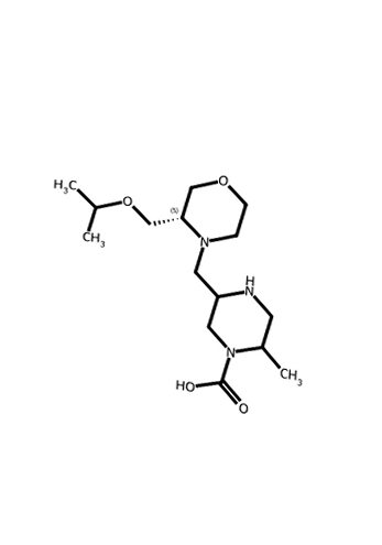 CC(C)OC[C@@H]1COCCN1CC1CN(C(=O)O)C(C)CN1